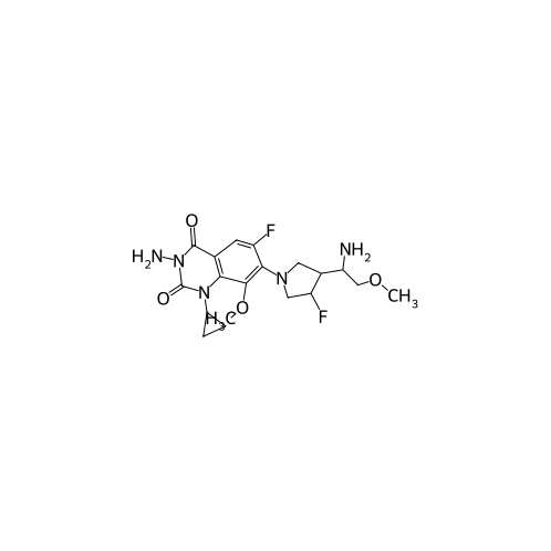 COCC(N)C1CN(c2c(F)cc3c(=O)n(N)c(=O)n(C4CC4)c3c2OC)CC1F